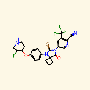 N#Cc1ncc(N2C(=O)C3(CCC3)N(c3ccc(OC4CCNCC4F)cc3)C2=S)cc1C(F)(F)F